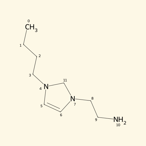 CCCCN1C=CN(CCN)C1